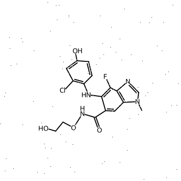 Cn1cnc2c(F)c(Nc3ccc(O)cc3Cl)c(C(=O)NOCCO)cc21